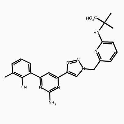 CC(C)(Nc1cccc(Cn2cc(-c3cc(-c4cccc(I)c4C#N)nc(N)n3)nn2)n1)C(=O)O